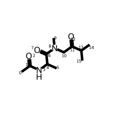 CC(=O)NC(C)C(=O)N(C)CC(=O)C(C)C